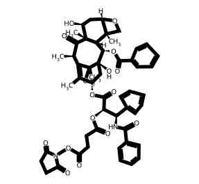 CC1=C2[C@@H](C)C(=O)[C@@]3(C)[C@H]([C@H](OC(=O)c4ccccc4)[C@](O)(C[C@@H]1OC(=O)[C@H](OC(=O)CCC(=O)ON1C(=O)CCC1=O)[C@H](NC(=O)c1ccccc1)c1ccccc1)C2(C)C)[C@]1(C)CO[C@@H]1C[C@@H]3O